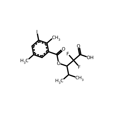 Cc1cc(I)c(C)c(C(=O)OC(C(C)C)C(F)(F)C(=O)O)c1